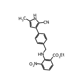 CCOC(=O)c1cccc([N+](=O)[O-])c1NCc1ccc(-c2cc(C)[nH]c2C#N)cc1